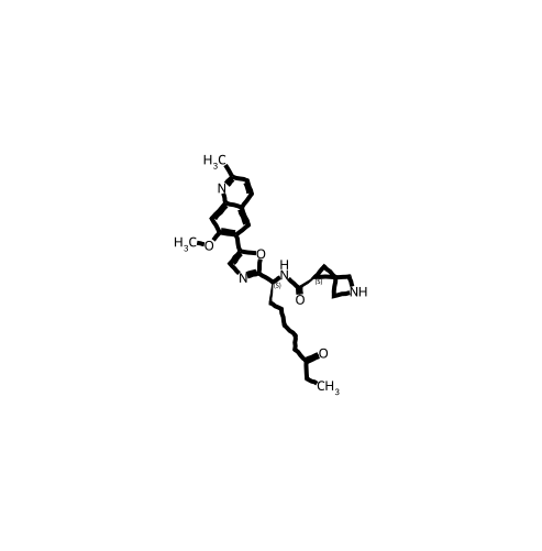 CCC(=O)CCCCC[C@H](NC(=O)[C@H]1CC12CNC2)c1ncc(-c2cc3ccc(C)nc3cc2OC)o1